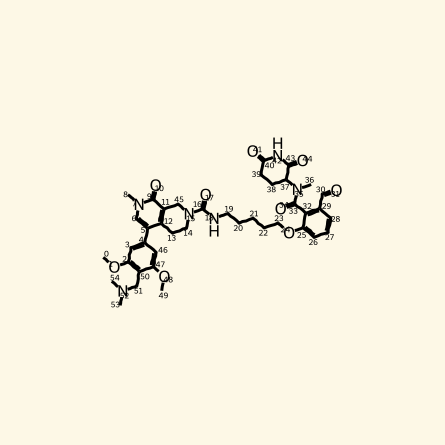 COc1cc(-c2cn(C)c(=O)c3c2CCN(C(=O)NCCCCCOc2cccc(C=O)c2C(=O)N(C)C2CCC(=O)NC2=O)C3)cc(OC)c1CN(C)C